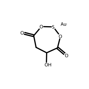 O=C1CC(O)C(=O)OSO1.[Au]